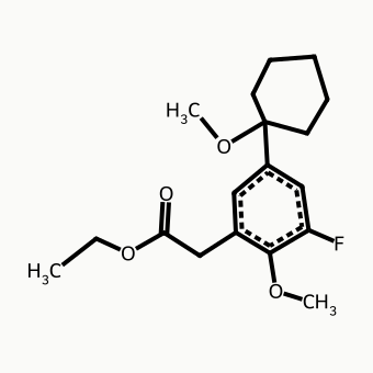 CCOC(=O)Cc1cc(C2(OC)CCCCC2)cc(F)c1OC